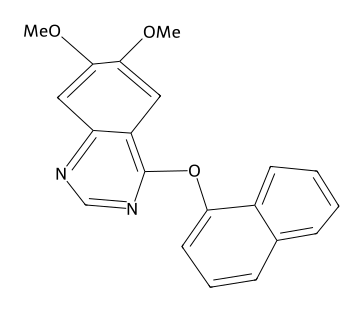 COc1cc2ncnc(Oc3cccc4ccccc34)c2cc1OC